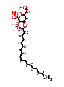 CCCCCCCC/C=C\CCCCCCCC(=O)OC(CC(O)CO)C(O)CO